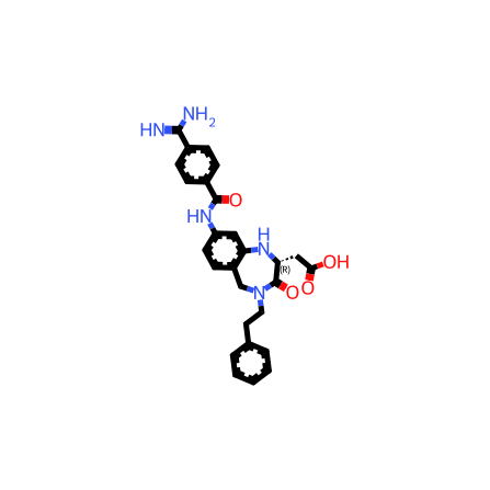 N=C(N)c1ccc(C(=O)Nc2ccc3c(c2)N[C@H](CC(=O)O)C(=O)N(CCc2ccccc2)C3)cc1